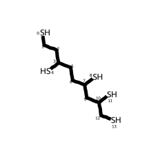 SCCC(S)CCC(S)CC(S)CS